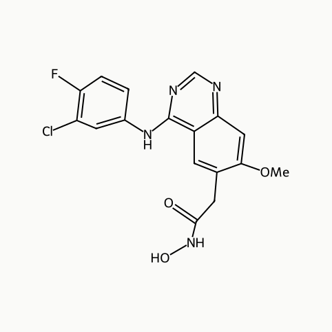 COc1cc2ncnc(Nc3ccc(F)c(Cl)c3)c2cc1CC(=O)NO